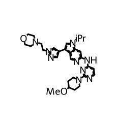 COC1CCN(c2nccc(Nc3cc4c(cn3)c(-c3cnn(CCN5CCOCC5)c3)cn4C(C)C)n2)CC1